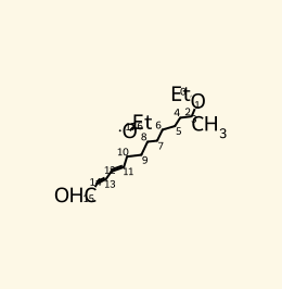 CCOC(C)CCCCCCCC=CC=CC=O.CC[O]